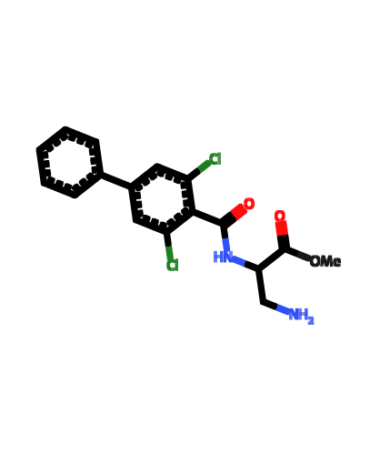 COC(=O)C(CN)NC(=O)c1c(Cl)cc(-c2ccccc2)cc1Cl